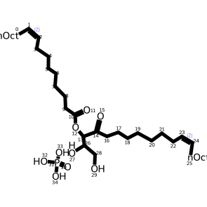 CCCCCCCC/C=C\CCCCCCCC(=O)OC(C(=O)CCCCCCC/C=C\CCCCCCCC)C(O)CO.O=P(O)(O)O